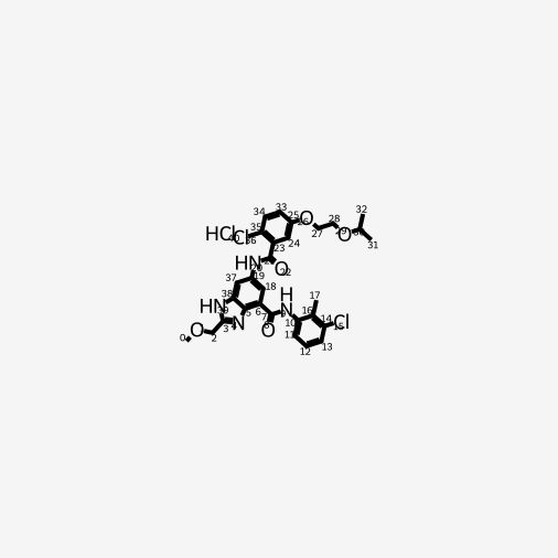 COCc1nc2c(C(=O)Nc3cccc(Cl)c3C)cc(NC(=O)c3cc(OCCOC(C)C)ccc3Cl)cc2[nH]1.Cl